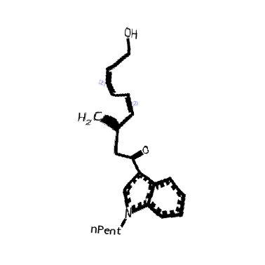 C=C(/C=C\C=C/CO)CC(=O)c1cn(CCCCC)c2ccccc12